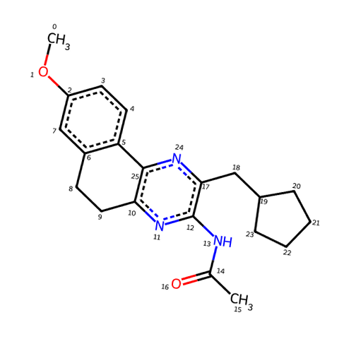 COc1ccc2c(c1)CCc1nc(NC(C)=O)c(CC3CCCC3)nc1-2